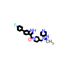 Cc1nc2cnccc2n1CC1CCN(C(=O)c2c[nH]c3cc(-c4ccc(F)cc4)ccc23)CC1